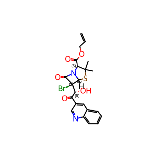 C=CCOC(=O)[C@@H]1N2C(=O)[C@@](Br)([C@H](O)C(=O)c3cnc4ccccc4c3)[C@H]2SC1(C)C